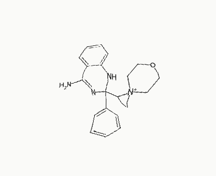 NC1=NC(c2ccccc2)(C2C[N+]23CCOCC3)Nc2ccccc21